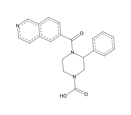 O=C(O)N1CCN(C(=O)c2ccc3cnccc3c2)C(c2ccccc2)C1